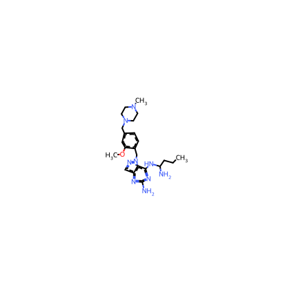 CCCC(N)Nc1nc(N)nc2cnn(Cc3ccc(CN4CCN(C)CC4)cc3OC)c12